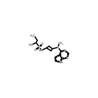 CCC(O)S(=O)(=O)NC1CC(N(C)c2ncnc3[nH]ccc23)C1